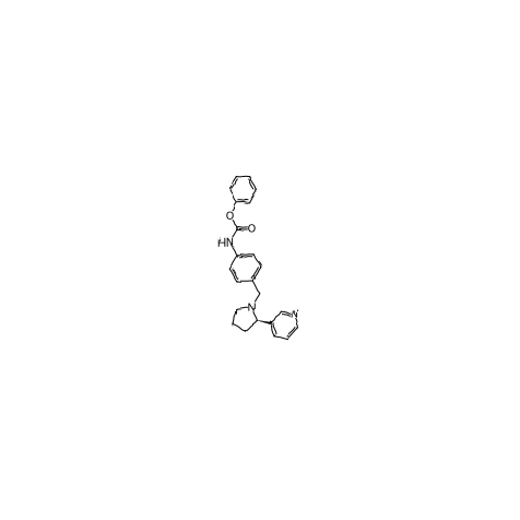 O=C(Nc1ccc(CN2CCC[C@@H]2c2cccnc2)cc1)Oc1ccccc1